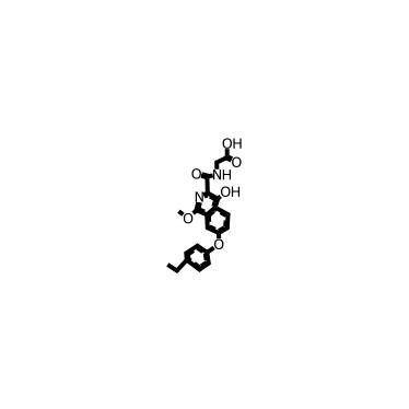 CCc1ccc(Oc2ccc3c(O)c(C(=O)NCC(=O)O)nc(OC)c3c2)cc1